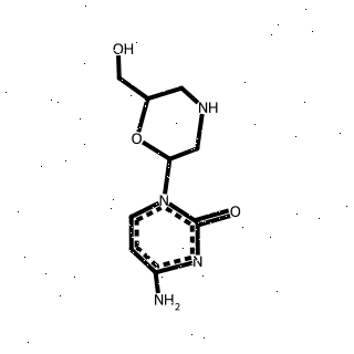 Nc1ccn(C2CNCC(CO)O2)c(=O)n1